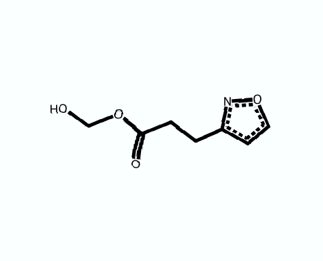 O=C(CCc1ccon1)OCO